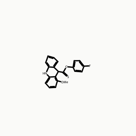 COc1cccc2c1C(C(=S)Oc1ccc(F)cc1)c1ccccc1N2